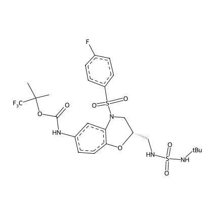 CC(C)(C)NS(=O)(=O)NC[C@H]1CN(S(=O)(=O)c2ccc(F)cc2)c2cc(NC(=O)OC(C)(C)C(F)(F)F)ccc2O1